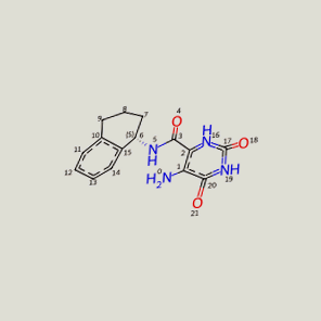 Nc1c(C(=O)N[C@H]2CCCc3ccccc32)[nH]c(=O)[nH]c1=O